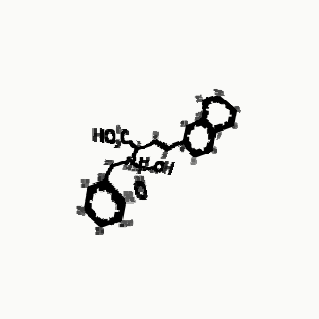 O=C(O)C(CCc1ccc2ccccc2c1)N(Cc1ccccc1)[PH](=O)O